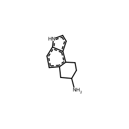 NC1CCc2c(ccc3[nH]ccc23)C1